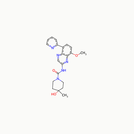 COc1ccc(-c2ccccn2)c2ncc(NC(=O)N3CCC(C)(O)CC3)nc12